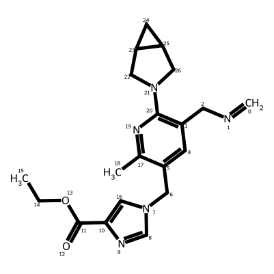 C=NCc1cc(Cn2cnc(C(=O)OCC)c2)c(C)nc1N1CC2CC2C1